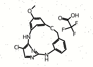 COc1cc2cc(c1)Nc1nc(ncc1Cl)Nc1cccc(c1)CC2.O=C(O)C(F)(F)F